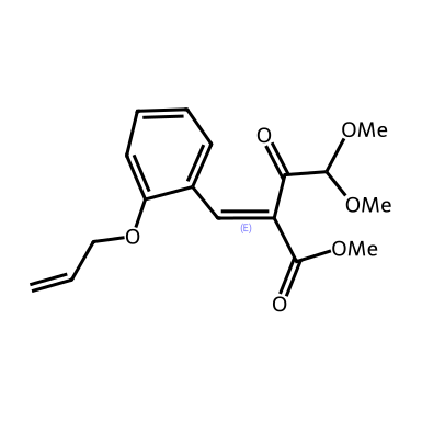 C=CCOc1ccccc1/C=C(/C(=O)OC)C(=O)C(OC)OC